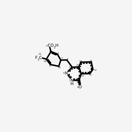 O=C(O)C1=CC(Cc2n[nH]c(=O)c3ccccc23)CC=C1C(F)(F)F